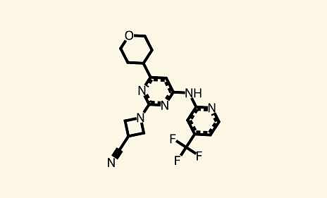 N#CC1CN(c2nc(Nc3cc(C(F)(F)F)ccn3)cc(C3CCOCC3)n2)C1